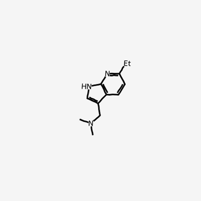 CCc1ccc2c(CN(C)C)c[nH]c2n1